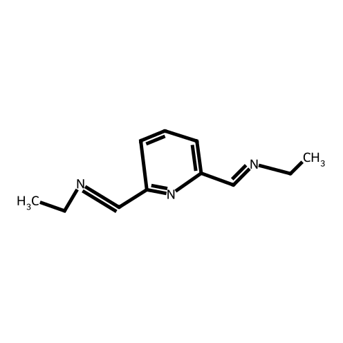 CC/N=C/c1cccc(/C=N/CC)n1